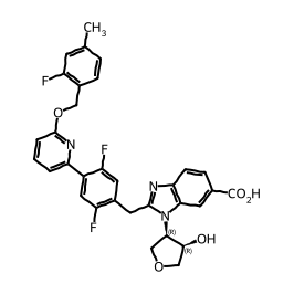 Cc1ccc(COc2cccc(-c3cc(F)c(Cc4nc5ccc(C(=O)O)cc5n4[C@@H]4COC[C@@H]4O)cc3F)n2)c(F)c1